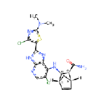 CN(C)c1nc(Cl)c(-c2nc3c(N[C@H]4[C@@H](C(N)=O)[C@@H]5C=C[C@H]4C5)c(Cl)cnc3[nH]2)s1